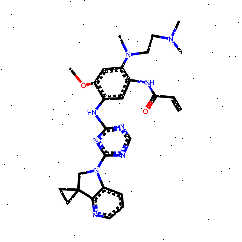 C=CC(=O)Nc1cc(Nc2ncnc(N3CC4(CC4)c4ncccc43)n2)c(OC)cc1N(C)CCN(C)C